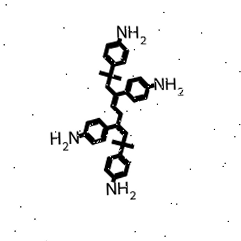 CC(C)(C=C(CC=C(CC(C)(C)c1ccc(N)cc1)c1ccc(N)cc1)c1ccc(N)cc1)c1ccc(N)cc1